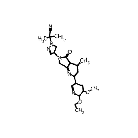 CCOC1N=CC(C2CC(C)C3C(=O)N(C4C=NN(C(C)(C)C#N)C4)CC3=N2)CC1OC